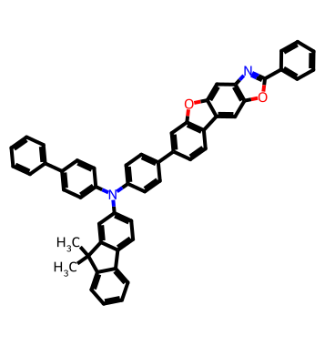 CC1(C)c2ccccc2-c2ccc(N(c3ccc(-c4ccccc4)cc3)c3ccc(-c4ccc5c(c4)oc4cc6nc(-c7ccccc7)oc6cc45)cc3)cc21